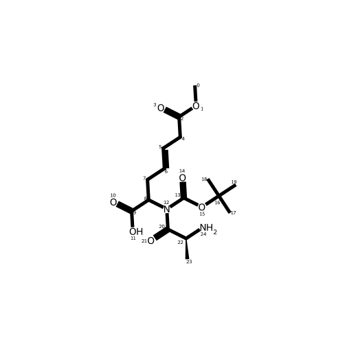 COC(=O)CC=CCC(C(=O)O)N(C(=O)OC(C)(C)C)C(=O)[C@H](C)N